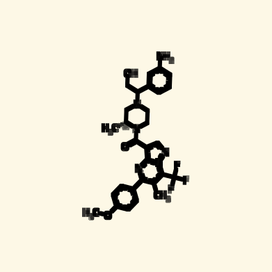 COc1ccc(-c2nc3c(C(=O)N4CCN(C(CO)c5cccc(N)c5)C[C@H]4C)cnn3c(C(F)(F)F)c2C)cc1